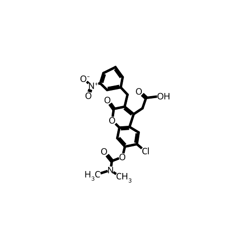 CN(C)C(=O)Oc1cc2oc(=O)c(Cc3cccc([N+](=O)[O-])c3)c(CC(=O)O)c2cc1Cl